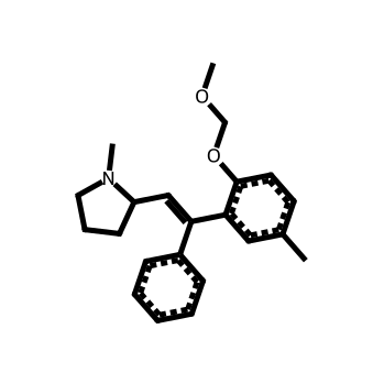 COCOc1ccc(C)cc1/C(=C/C1CCCN1C)c1ccccc1